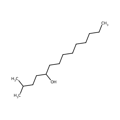 CCCCCCCCCC(O)CCC(C)C